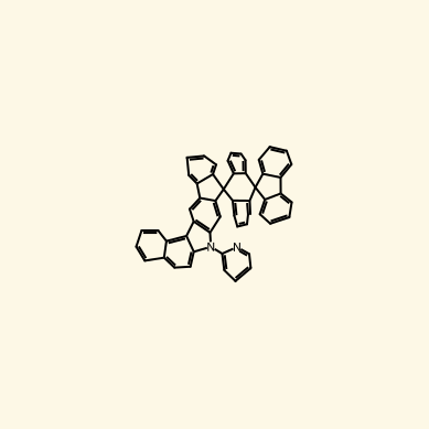 c1ccc(-n2c3cc4c(cc3c3c5ccccc5ccc32)-c2ccccc2C42c3ccccc3C3(c4ccccc4-c4ccccc43)c3ccccc32)nc1